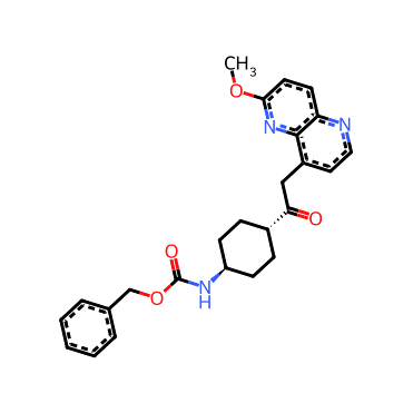 COc1ccc2nccc(CC(=O)[C@H]3CC[C@H](NC(=O)OCc4ccccc4)CC3)c2n1